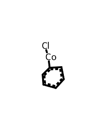 [Cl][Co][c]1ccccc1